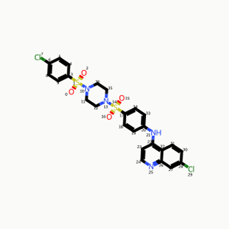 O=S(=O)(c1ccc(Cl)cc1)N1CCN(S(=O)(=O)c2ccc(Nc3ccnc4cc(Cl)ccc34)cc2)CC1